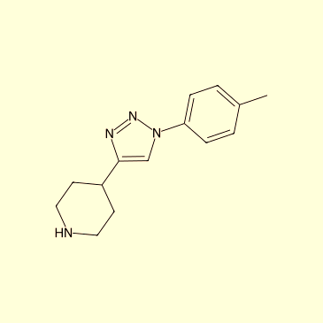 Cc1ccc(-n2cc(C3CCNCC3)nn2)cc1